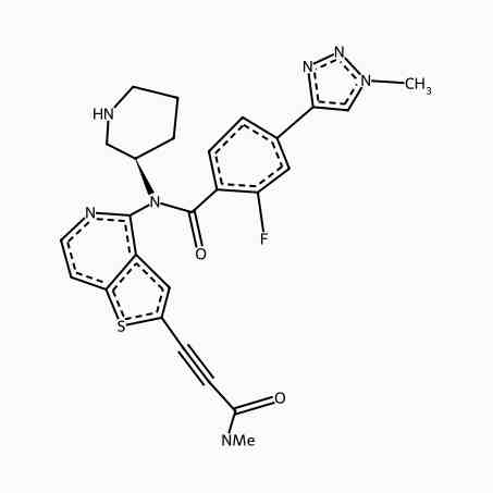 CNC(=O)C#Cc1cc2c(N(C(=O)c3ccc(-c4cn(C)nn4)cc3F)[C@@H]3CCCNC3)nccc2s1